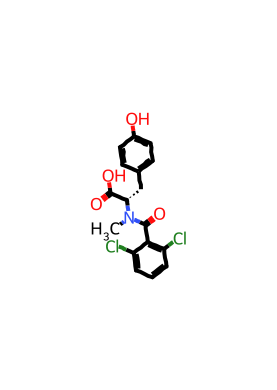 CN(C(=O)c1c(Cl)cccc1Cl)[C@@H](Cc1ccc(O)cc1)C(=O)O